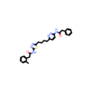 Cc1ccccc1CC(=O)Nc1nnc(CCCCc2ccc(NC(=O)Cc3ccccc3)nn2)s1